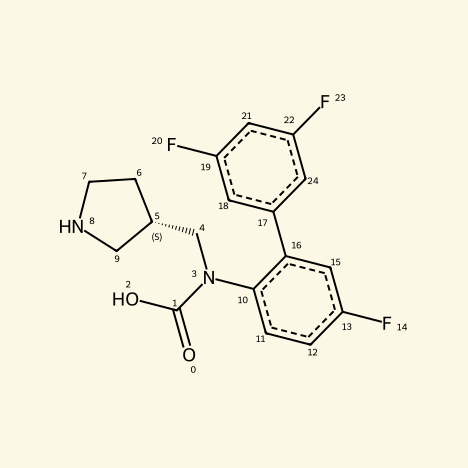 O=C(O)N(C[C@H]1CCNC1)c1ccc(F)cc1-c1cc(F)cc(F)c1